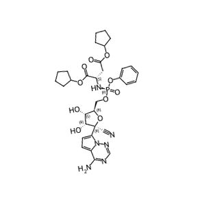 N#C[C@@]1(c2ccc3c(N)ncnn23)O[C@H](CO[P@](=O)(N[C@@H](CC(=O)OC2CCCC2)C(=O)OC2CCCC2)Oc2ccccc2)[C@@H](O)[C@H]1O